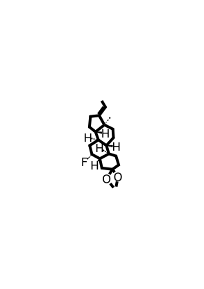 CC=C1CC[C@H]2[C@@H]3C[C@@H](F)[C@@H]4CC(OC)(OC)CC[C@@H]4[C@H]3CC[C@]12C